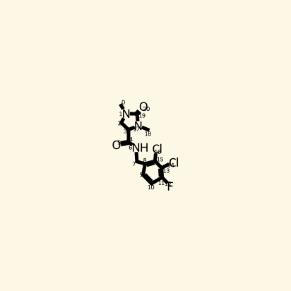 CN1CC(C(=O)NCc2ccc(F)c(Cl)c2Cl)N(C)C1=O